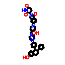 O=C1CCC(N2Cc3cc(N4CCC(O)(CN5CCN(c6ccc(C7c8ccc(O)cc8CCC7c7ccccc7)cc6)CC5)CC4)ccc3C2=O)C(=O)N1